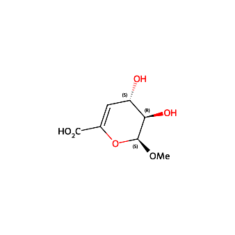 CO[C@H]1OC(C(=O)O)=C[C@H](O)[C@H]1O